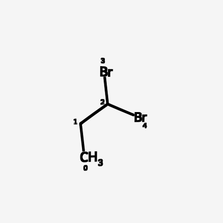 CCC(Br)Br